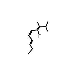 CC/C=C/C=C\C(F)=C(/C)C(C)C